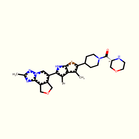 Cc1nc2c3c(c(-c4[nH]c5sc(C6CCN(C(=O)[C@H]7COCCN7)CC6)c(C)c5c4C(C)C)cn2n1)COC3